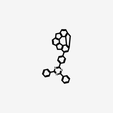 c1ccc(-c2nc(-c3ccccc3)nc(-c3ccc(-c4cc5c6c7c(ccc8c7c7c(ccc9c7c6c4C9)C8)C5)cc3)n2)cc1